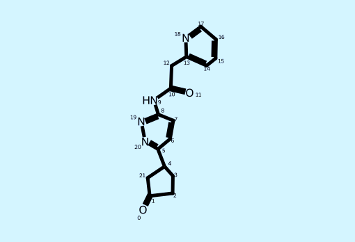 O=C1CCC(c2ccc(NC(=O)Cc3ccccn3)nn2)C1